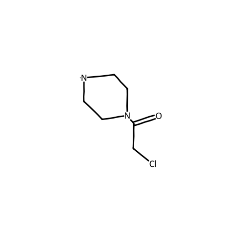 O=C(CCl)N1CC[N]CC1